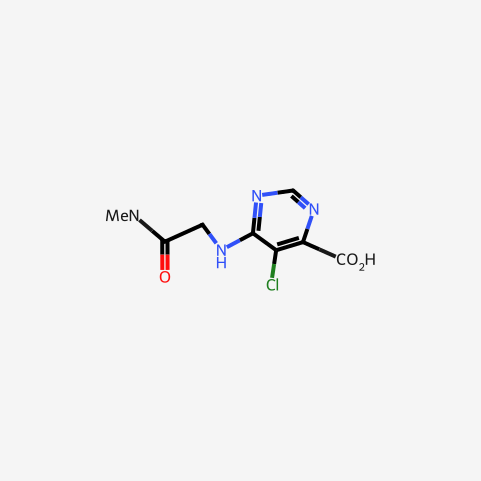 CNC(=O)CNc1ncnc(C(=O)O)c1Cl